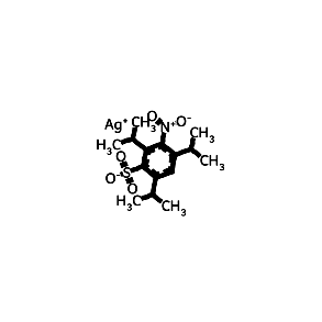 CC(C)c1cc(C(C)C)c(S(=O)(=O)[O-])c(C(C)C)c1[N+](=O)[O-].[Ag+]